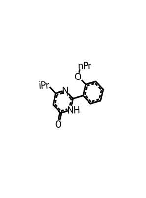 CCCOc1ccccc1-c1nc(C(C)C)cc(=O)[nH]1